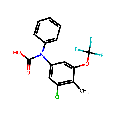 Cc1c(Cl)cc(N(C(=O)O)c2ccccc2)cc1OC(F)(F)F